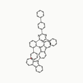 c1ccc(-c2ccc(-c3nc(-c4ccccc4)nc(-c4cccc(-c5ccccc5)c4-n4c5ccccc5c5ccc(-n6c7ccccc7c7ccccc76)cc54)n3)cc2)cc1